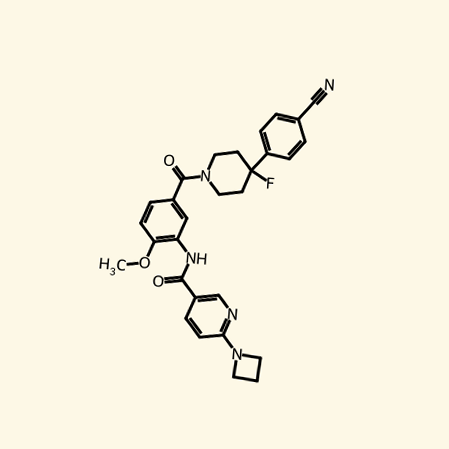 COc1ccc(C(=O)N2CCC(F)(c3ccc(C#N)cc3)CC2)cc1NC(=O)c1ccc(N2CCC2)nc1